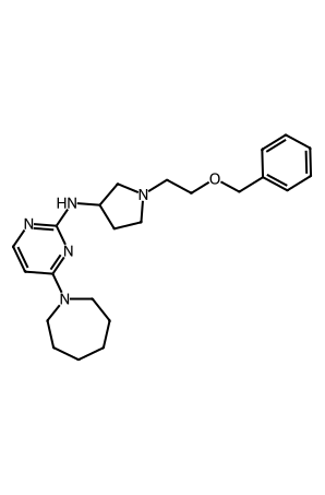 c1ccc(COCCN2CCC(Nc3nccc(N4CCCCCC4)n3)C2)cc1